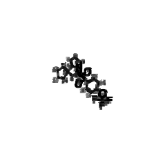 O=S(=O)(NCC1(c2cccs2)CCCC1)c1ccc(OC(F)(F)F)cc1